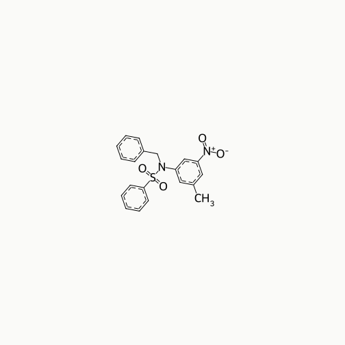 Cc1cc(N(Cc2ccccc2)S(=O)(=O)c2ccccc2)cc([N+](=O)[O-])c1